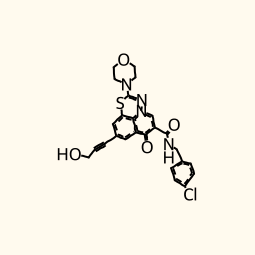 O=C(NCc1ccc(Cl)cc1)c1cn2c3c(cc(C#CCO)cc3c1=O)SC(N1CCOCC1)=N2